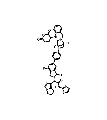 O=C1CCC(Nc2ccccc2CN2C[C@@H]3C[C@H]2CN3c2ccc(-c3cc(F)c4c(c3)C(=O)N(C(C(=O)Nc3nccs3)c3ncn5c3CCC5)C4)cc2)C(=O)N1